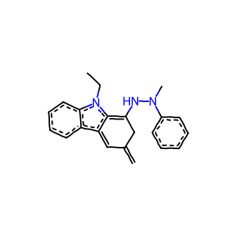 C=C1C=c2c(n(CC)c3ccccc23)=C(NN(C)c2ccccc2)C1